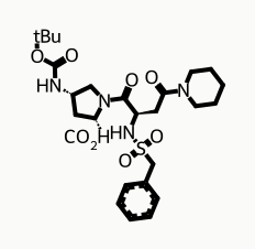 CC(C)(C)OC(=O)N[C@H]1C[C@@H](C(=O)O)N(C(=O)[C@@H](CC(=O)N2CCCCC2)NS(=O)(=O)Cc2ccccc2)C1